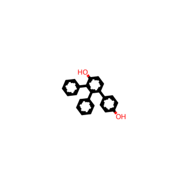 Oc1ccc(-c2ccc(O)c(-c3ccccc3)c2-c2ccccc2)cc1